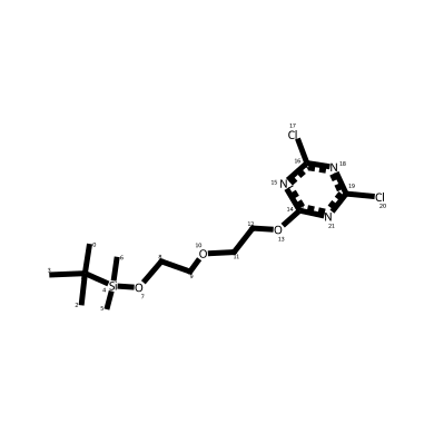 CC(C)(C)[Si](C)(C)OCCOCCOc1nc(Cl)nc(Cl)n1